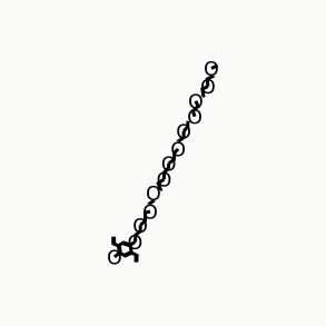 C=Cc1cc(OCCOCCOCCOCCOCCOCCOCCOCCOCCOCCOCCOC)c(C=C)cc1OC